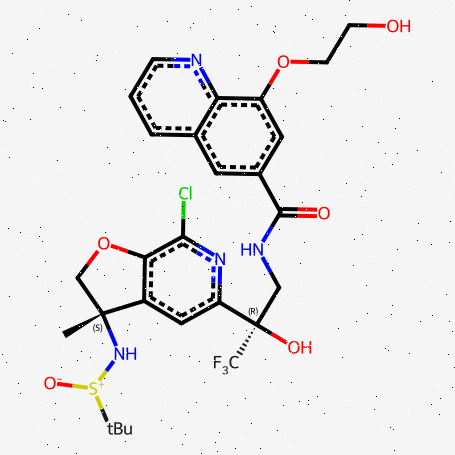 CC(C)(C)[S+]([O-])N[C@]1(C)COc2c1cc([C@](O)(CNC(=O)c1cc(OCCO)c3ncccc3c1)C(F)(F)F)nc2Cl